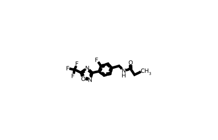 CCC(=O)NCc1ccc(-c2noc(C(F)(F)F)n2)c(F)c1